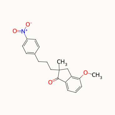 COc1cccc2c1CC(C)(CCCc1ccc([N+](=O)[O-])cc1)C2=O